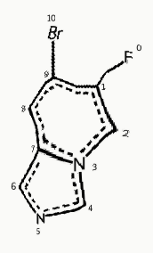 Fc1cn2cncc2cc1Br